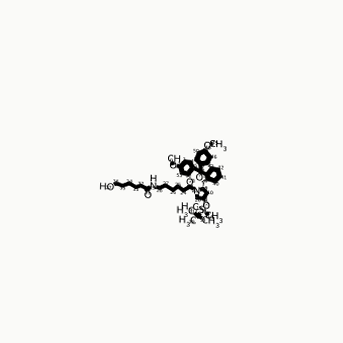 COc1ccc(C(OC[C@@H]2C[C@@H](O[Si](C)(C)C(C)(C)C)CN2C(=O)CCCCCNC(=O)CCCCCO)(c2ccccc2)c2ccc(OC)cc2)cc1